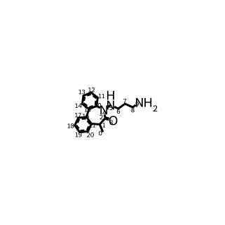 CC1C(=O)N(NCCCN)c2ccccc2-c2ccccc21